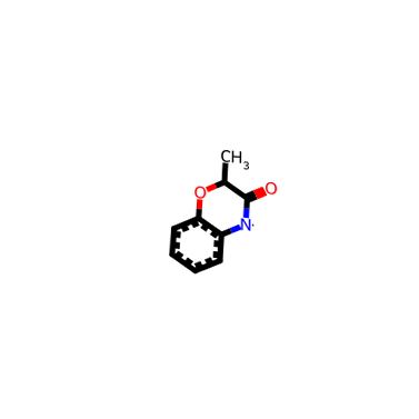 CC1Oc2ccccc2[N]C1=O